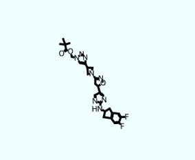 CC(C)(C)C(=O)OCn1cc(C2CN(C3=NOC(c4cnc(NC5Cc6cc(F)c(F)cc6C5)nc4)C3)C2)nn1